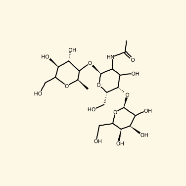 CC(=O)NC1C(O)[C@H](O[C@@H]2OC(CO)[C@H](O)[C@H](O)C2O)[C@H](CO)O[C@H]1OC1[C@@H](O)[C@H](O)C(CO)O[C@@H]1C